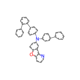 c1ccc(-c2ccc(N(c3ccc(-c4ccccc4-c4ccccc4)cc3)c3ccc4oc5cccnc5c4c3)cc2)cc1